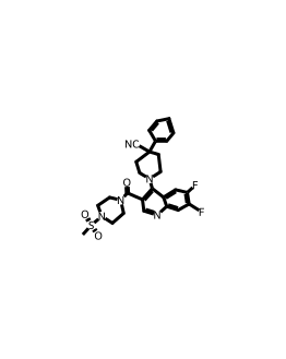 CS(=O)(=O)N1CCN(C(=O)c2cnc3cc(F)c(F)cc3c2N2CCC(C#N)(c3ccccc3)CC2)CC1